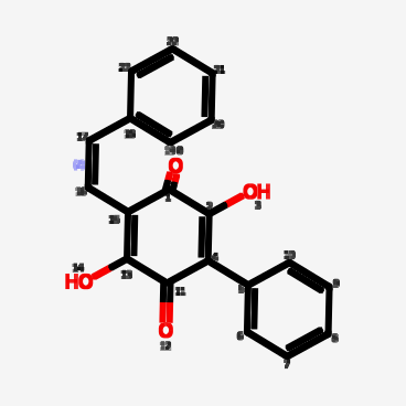 O=C1C(O)=C(c2ccccc2)C(=O)C(O)=C1/C=C\c1ccccc1